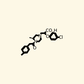 Cc1ccc(CC(=O)N2CCN(CC(Oc3ccc(Cl)cc3)C(=O)O)C[C@@H]2C)cc1